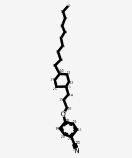 CCCCCCCCCCC1CCC(CCCOc2ccc(C#N)cc2)CC1